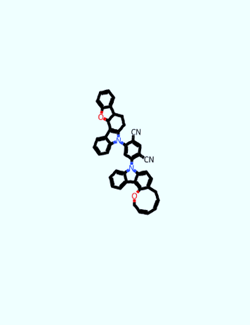 N#Cc1cc(C#N)c(-n2c3ccccc3c3c4c(ccc32)C/C=C\C=C/CO4)cc1-n1c2c(c3ccccc31)C1Oc3ccccc3C1CC2